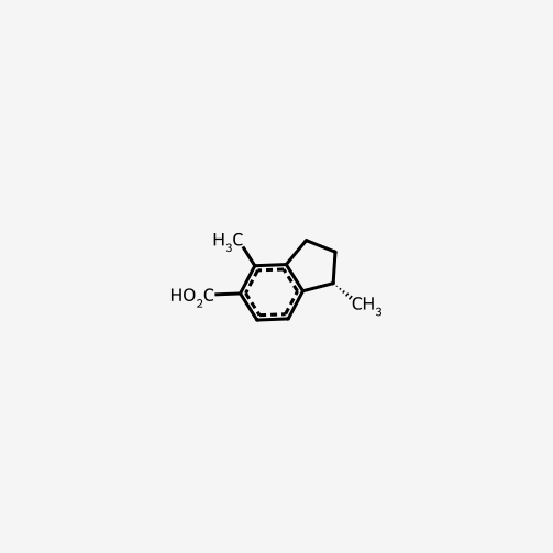 Cc1c(C(=O)O)ccc2c1CC[C@@H]2C